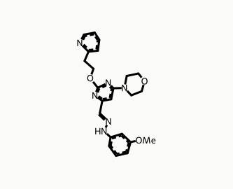 COc1cccc(N/N=C/c2cc(N3CCOCC3)nc(OCCc3ccccn3)n2)c1